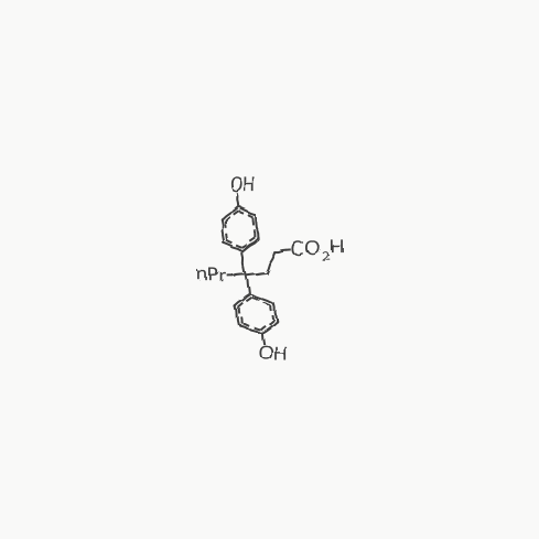 CCCC(CCC(=O)O)(c1ccc(O)cc1)c1ccc(O)cc1